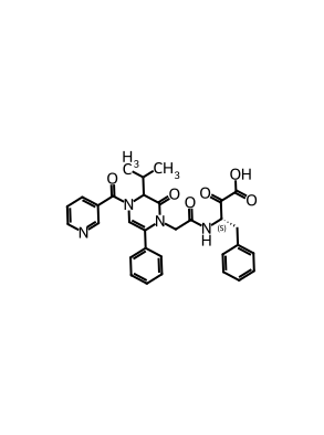 CC(C)C1C(=O)N(CC(=O)N[C@@H](Cc2ccccc2)C(=O)C(=O)O)C(c2ccccc2)=CN1C(=O)c1cccnc1